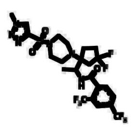 CC(NC(=O)c1ccc(C(F)(F)F)cc1C(F)(F)F)C1(N2CCN(S(=O)(=O)c3cn(C)nn3)CC2)CCC(F)(F)C1